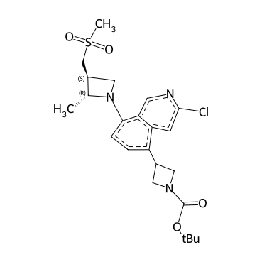 C[C@@H]1[C@@H](CS(C)(=O)=O)CN1c1ccc(C2CN(C(=O)OC(C)(C)C)C2)c2cc(Cl)ncc12